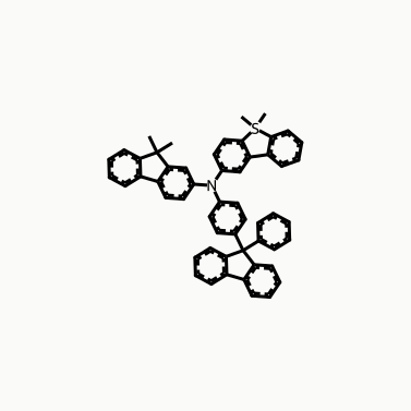 CC1(C)c2ccccc2-c2ccc(N(c3ccc(C4(c5ccccc5)c5ccccc5-c5ccccc54)cc3)c3ccc4c(c3)-c3ccccc3S4(C)C)cc21